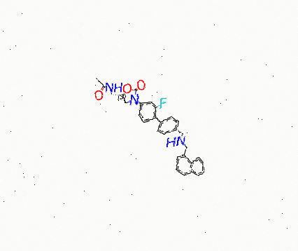 CC(=O)NC[C@H]1CN(c2ccc(-c3ccc(CNCc4cccc5ccccc45)cc3)c(F)c2)C(=O)O1